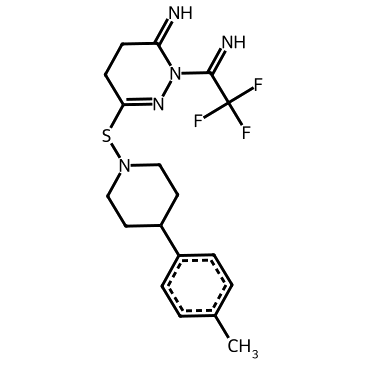 Cc1ccc(C2CCN(SC3=NN(C(=N)C(F)(F)F)C(=N)CC3)CC2)cc1